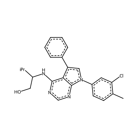 Cc1ccc(-n2cc(-c3ccccc3)c3c(NC(CO)C(C)C)ncnc32)cc1Cl